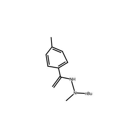 C=C(NN(C)CCCC)c1ccc(C)cc1